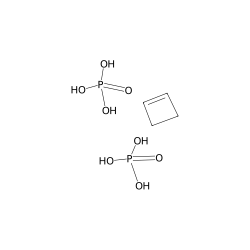 C1=CCC1.O=P(O)(O)O.O=P(O)(O)O